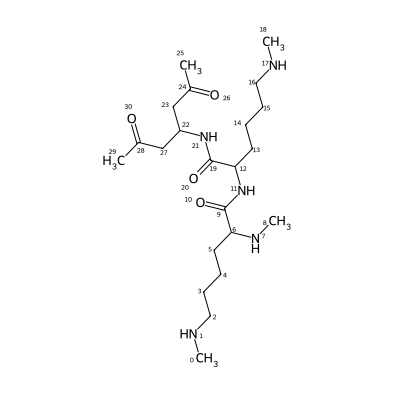 CNCCCCC(NC)C(=O)NC(CCCCNC)C(=O)NC(CC(C)=O)CC(C)=O